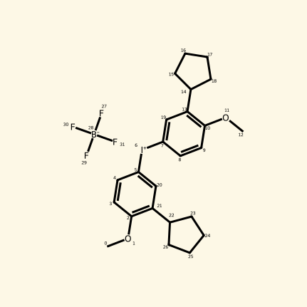 COc1ccc([I+]c2ccc(OC)c(C3CCCC3)c2)cc1C1CCCC1.F[B-](F)(F)F